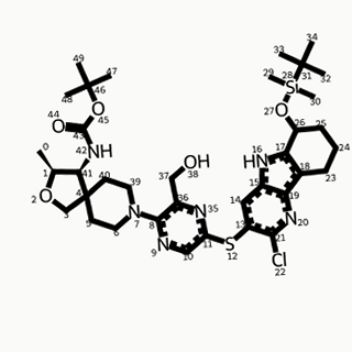 C[C@@H]1OCC2(CCN(c3ncc(Sc4cc5[nH]c6c(c5nc4Cl)CCCC6O[Si](C)(C)C(C)(C)C)nc3CO)CC2)[C@@H]1NC(=O)OC(C)(C)C